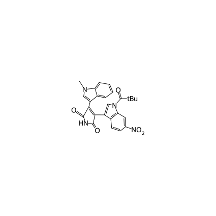 Cn1cc(C2=C(c3cn(C(=O)C(C)(C)C)c4cc([N+](=O)[O-])ccc34)C(=O)NC2=O)c2ccccc21